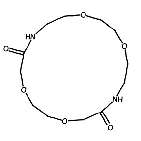 O=C1COCCOCC(=O)NCCOCCOCCN1